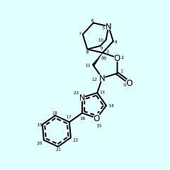 O=C1O[C@]2(CN3CCC2CC3)CN1c1coc(-c2ccccc2)n1